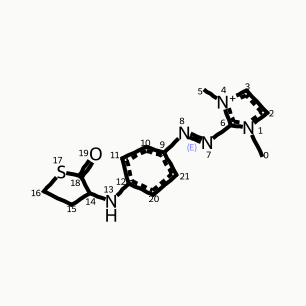 Cn1cc[n+](C)c1/N=N/c1ccc(NC2CCSC2=O)cc1